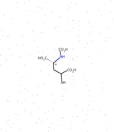 CCCC(C[C@@H](NC(=O)O)C(=O)O)C(=O)O